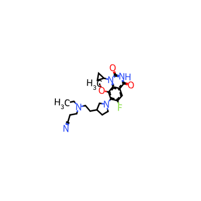 CCN(CCC#N)CCC1CCN(c2c(F)cc3c(=O)[nH]c(=O)n(C4CC4)c3c2OC)C1